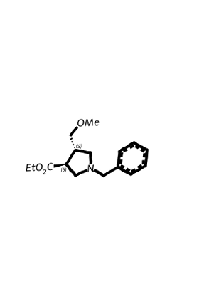 CCOC(=O)[C@@H]1CN(Cc2ccccc2)C[C@H]1COC